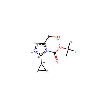 CC(C)(C)OC(=O)n1c(CO)cnc1C1CC1